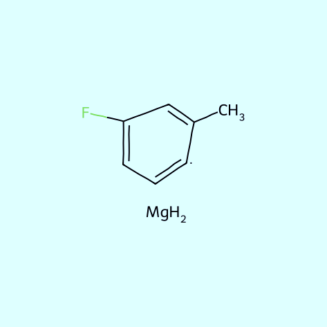 Cc1[c]ccc(F)c1.[MgH2]